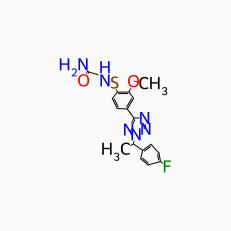 COc1cc(-c2nnn(C(C)c3ccc(F)cc3)n2)ccc1SNCC(N)=O